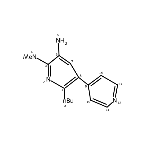 CCCCc1nc(NC)c(N)cc1-c1ccncc1